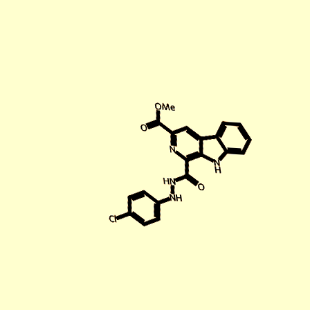 COC(=O)c1cc2c([nH]c3ccccc32)c(C(=O)NNc2ccc(Cl)cc2)n1